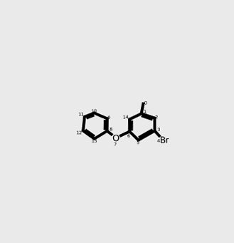 Cc1cc(Br)cc(Oc2ccccc2)c1